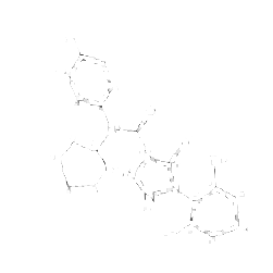 Cc1ccc(N(C(=O)n2nnn(-c3c(F)cccc3F)c2=O)C2CCCCC2)cn1